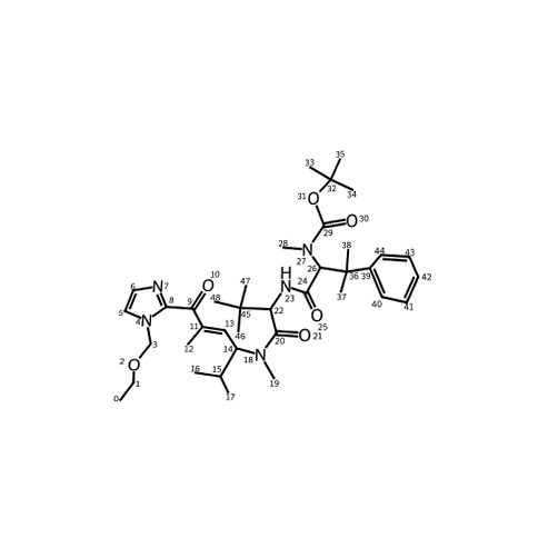 CCOCn1ccnc1C(=O)C(C)=CC(C(C)C)N(C)C(=O)C(NC(=O)C(N(C)C(=O)OC(C)(C)C)C(C)(C)c1ccccc1)C(C)(C)C